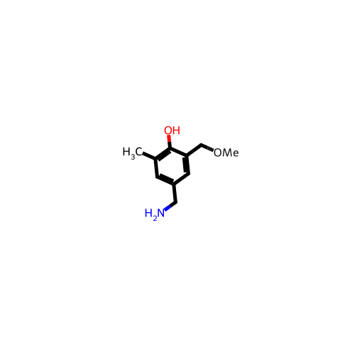 COCc1cc(CN)cc(C)c1O